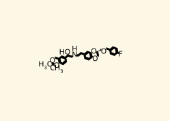 CC1(C)OCc2cc([C@@H](O)CNCCc3ccc4c(c3)O[C@H](COCc3ccc(F)cc3)CO4)ccc2O1